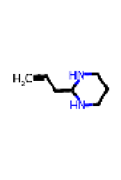 C=CCC1NCCCN1